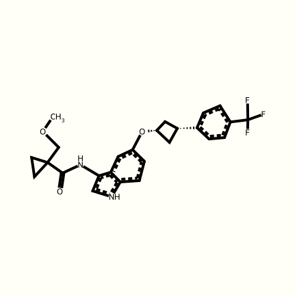 COCC1(C(=O)Nc2c[nH]c3ccc(O[C@H]4C[C@@H](c5ccc(C(F)(F)F)cc5)C4)cc23)CC1